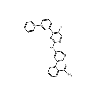 NC(=O)c1ccccc1-c1cncc(Nc2ncc(Cl)c(-c3cccc(-c4cccnc4)c3)n2)c1